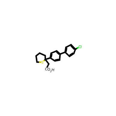 O=C(O)CC1(c2ccc(-c3ccc(Cl)cc3)cc2)CCCCS1